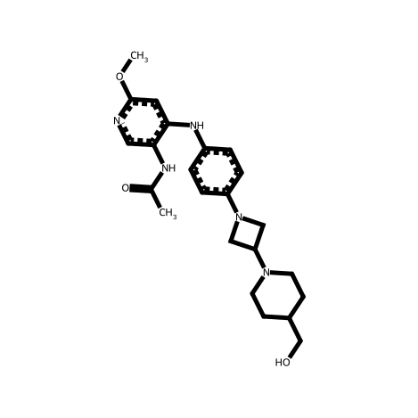 COc1cc(Nc2ccc(N3CC(N4CCC(CO)CC4)C3)cc2)c(NC(C)=O)cn1